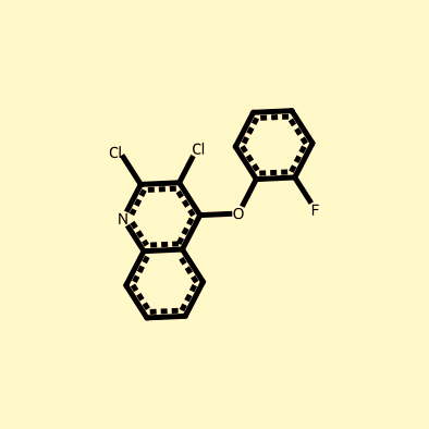 Fc1ccccc1Oc1c(Cl)c(Cl)nc2ccccc12